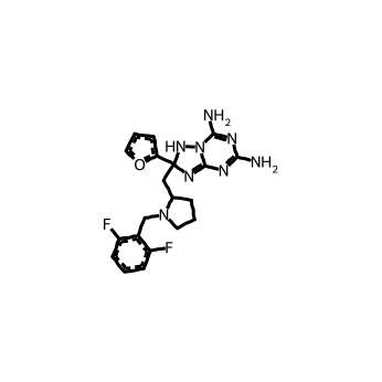 NC1=NC2=NC(CC3CCCN3Cc3c(F)cccc3F)(c3ccco3)NN2C(N)=N1